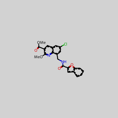 COC(=O)c1cc2cc(Cl)cc(CNC(=O)c3cc4ccccc4o3)c2nc1OC